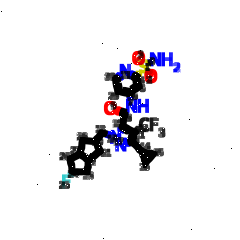 NS(=O)(=O)c1cc(NC(=O)c2c(C(F)(F)F)c(C3CC3)nn2CC2CC3CC(F)CC3C2)ccn1